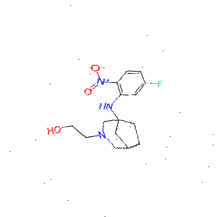 O=[N+]([O-])c1ccc(F)cc1NC12CCC(CN(CCO)C1)C2